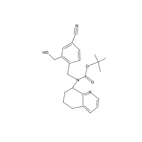 CC(C)(C)OC(=O)N(Cc1ccc(C#N)cc1CO)C1CCCc2cccnc21